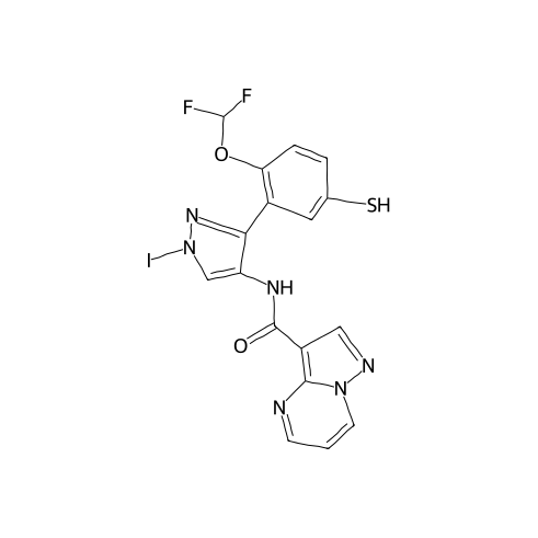 O=C(Nc1cn(I)nc1-c1cc(S)ccc1OC(F)F)c1cnn2cccnc12